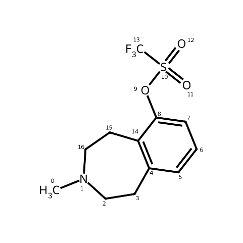 CN1CCc2cccc(OS(=O)(=O)C(F)(F)F)c2CC1